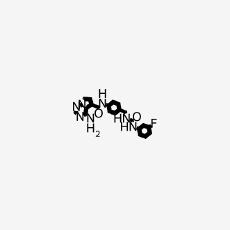 Nc1ncnn2ccc(C(=O)Nc3ccc(CNC(=O)Nc4cccc(F)c4)cc3)c12